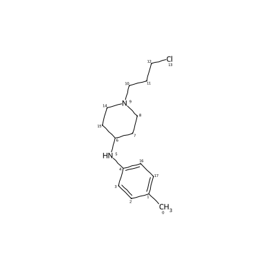 Cc1ccc(NC2CCN(CCCCl)CC2)cc1